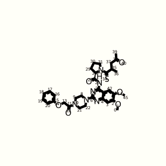 COc1cc2nc(N3CCN(C(=O)COc4ccccc4)CC3)nc(NC(=O)[C@H]3CCCN3C(=S)C(C)CC(C)=O)c2cc1OC